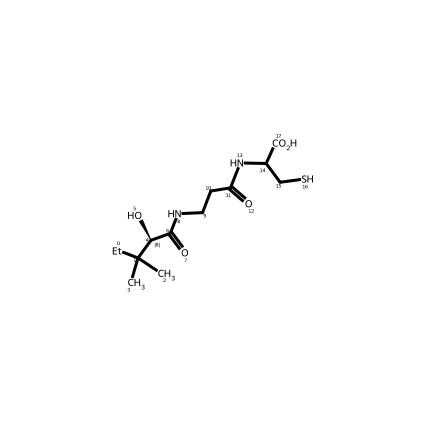 CCC(C)(C)[C@@H](O)C(=O)NCCC(=O)NC(CS)C(=O)O